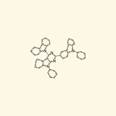 c1ccc(-n2c3ccccc3c3cc(-c4nc(-n5c6ccccc6c6ccccc65)c5c6ccccc6n(-c6ccccc6)c5n4)ccc32)cc1